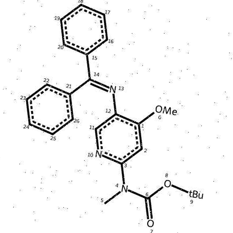 COc1cc(N(C)C(=O)OC(C)(C)C)ncc1N=C(c1ccccc1)c1ccccc1